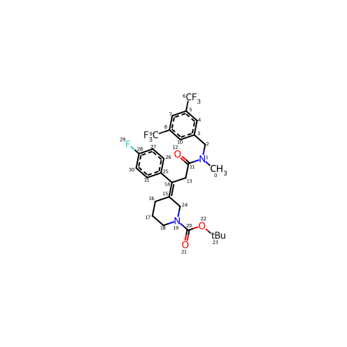 CN(Cc1cc(C(F)(F)F)cc(C(F)(F)F)c1)C(=O)CC(=C1CCCN(C(=O)OC(C)(C)C)C1)c1ccc(F)cc1